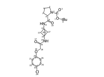 CC(C)(C)OC(=O)N1CCCC1C(=O)NC12CC(NC(=O)COc3ccc(Cl)cc3)(C1)C2